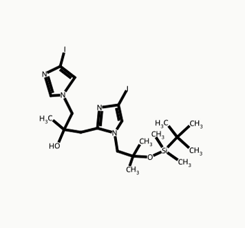 CC(O)(Cc1nc(I)cn1CC(C)(C)O[Si](C)(C)C(C)(C)C)Cn1cnc(I)c1